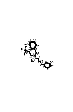 O=C(CCOCc1ccccc1)N(CCC(F)(F)F)Cc1ccccc1